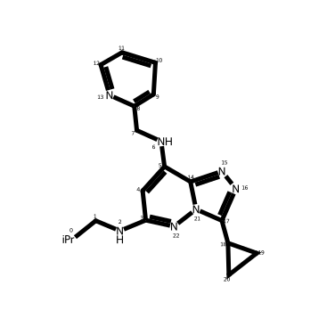 CC(C)CNc1cc(NCc2ccccn2)c2nnc(C3CC3)n2n1